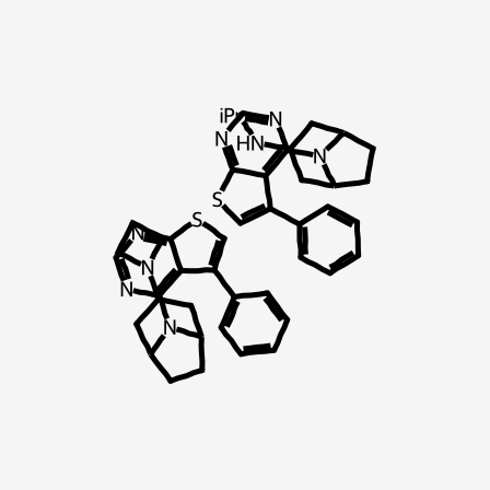 CC(C)NC1CC2CCC(C1)N2c1ncnc2scc(-c3ccccc3)c12.c1ccc(-c2csc3ncnc(N4C5CCC4CC(N4CCC4)C5)c23)cc1